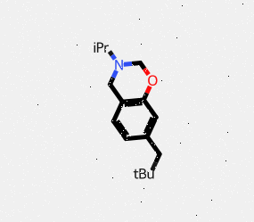 CC(C)N1COc2cc(CC(C)(C)C)ccc2C1